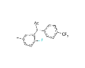 CC(=O)C(c1ccc(C(F)(F)F)cc1)c1cc(C)ccc1F